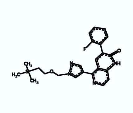 C[Si](C)(C)CCOCn1cc(-c2nccc3[nH]c(=O)c(-c4ccccc4F)cc23)cn1